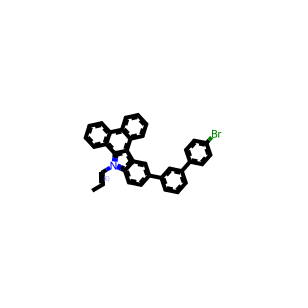 C/C=C/n1c2ccc(-c3cccc(-c4ccc(Br)cc4)c3)cc2c2c3ccccc3c3ccccc3c21